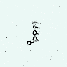 CC(=O)NC[C@H]1CN(c2ccc(N3CCNN(Cc4cccnc4)CC3)c(F)c2)C(=O)O1